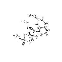 C=C[C@@H]1CN2CCC1C[C@@H]2C(O)c1ccnc2ccc(OC)cc12.[Cu]